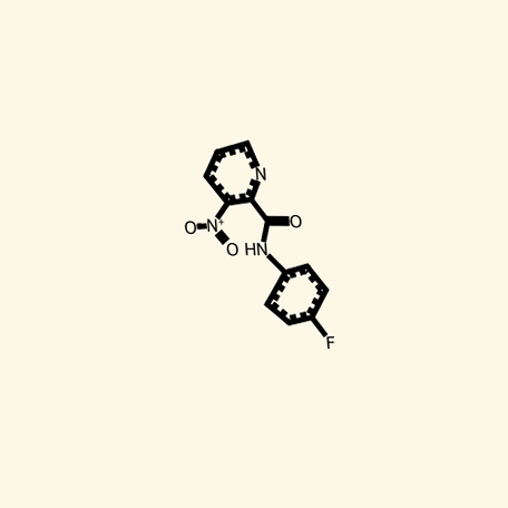 O=C(Nc1ccc(F)cc1)c1ncccc1[N+](=O)[O-]